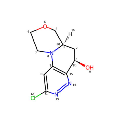 O[C@@H]1C[C@@H]2COCCN2c2cc(Cl)nnc21